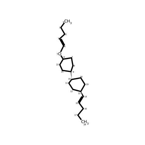 CCC/C=C/OC1CCC([C@H]2CC[C@H](/C=C/CCC)CC2)CC1